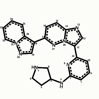 c1cc(NC2CCNC2)nc(-c2cnc3ccc(-c4cnn5ccccc45)nn23)c1